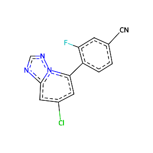 N#Cc1ccc(-c2cc(Cl)cc3ncnn23)c(F)c1